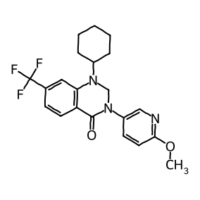 COc1ccc(N2CN(C3CCCCC3)c3cc(C(F)(F)F)ccc3C2=O)cn1